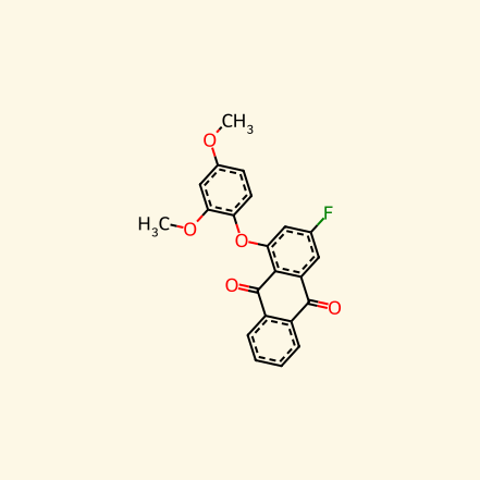 COc1ccc(Oc2cc(F)cc3c2C(=O)c2ccccc2C3=O)c(OC)c1